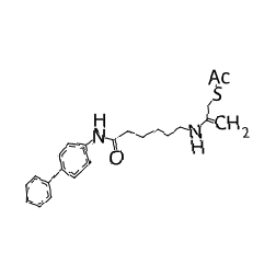 C=C(CSC(C)=O)NCCCCCC(=O)Nc1ccc(-c2ccccc2)cc1